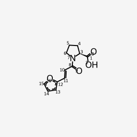 O=C(O)[C@@H]1CCCN1C(=O)/C=C/c1ccco1